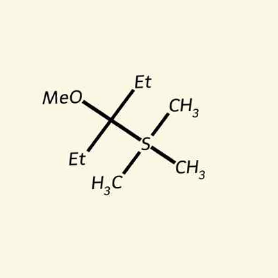 CCC(CC)(OC)S(C)(C)C